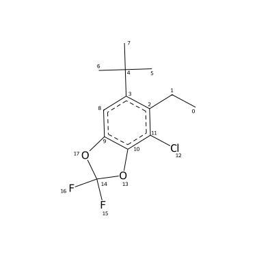 CCc1c(C(C)(C)C)cc2c(c1Cl)OC(F)(F)O2